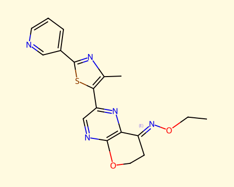 CCO/N=C1\CCOc2ncc(-c3sc(-c4cccnc4)nc3C)nc21